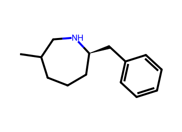 CC1CCC[C@H](Cc2ccccc2)NC1